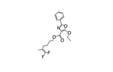 CCOc1oc(-c2ccccc2)nc1C(=O)OCCCCC(C)=C(F)F